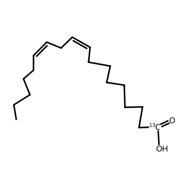 CCCCC/C=C\C/C=C\CCCCCCC[13C](=O)O